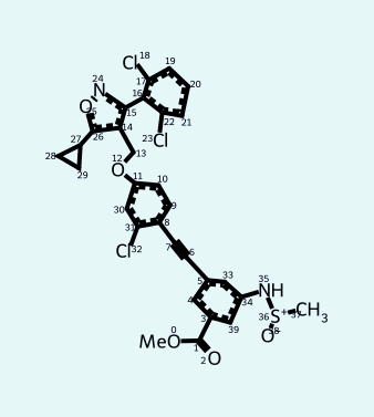 COC(=O)c1cc(C#Cc2ccc(OCc3c(-c4c(Cl)cccc4Cl)noc3C3CC3)cc2Cl)cc(N[S+](C)[O-])c1